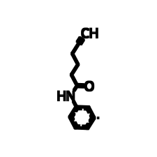 C#CCCCC(=O)Nc1c[c]ccc1